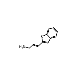 NCC=Cc1cc2ccccc2s1